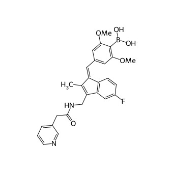 COc1cc(/C=C2/C(C)=C(CNC(=O)Cc3cccnc3)c3cc(F)ccc32)cc(OC)c1B(O)O